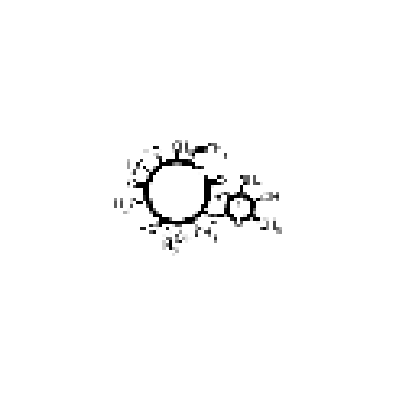 CC[C@H]1OC(=O)[C@H](C)[C@@H](O[C@H]2CC(N)[C@H](O)C(C)O2)[C@H](C)[C@@H](O)[C@](C)(O)C[C@@H](C)C(=O)[C@H](C)[C@@H](O)[C@H]1C